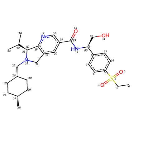 CCS(=O)(=O)c1ccc([C@H](CO)NC(=O)c2cnc3c(c2)CN(C[C@H]2CC[C@H](C)CC2)[C@H]3C(C)C)cc1